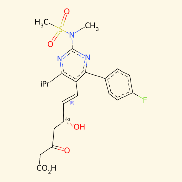 CC(C)c1nc(N(C)S(C)(=O)=O)nc(-c2ccc(F)cc2)c1/C=C/[C@H](O)CC(=O)CC(=O)O